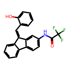 O=C(Nc1ccc2c(c1)C(=Cc1ccccc1O)c1ccccc1-2)C(F)(F)F